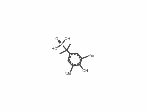 CC(C)(C)c1cc(C(C)(C)P(=O)(O)O)cc(C(C)(C)C)c1O